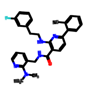 CN(C(=O)O)c1ncccc1CNC(=O)c1ccc(-c2ccccc2C#N)nc1NCCc1cccc(F)c1